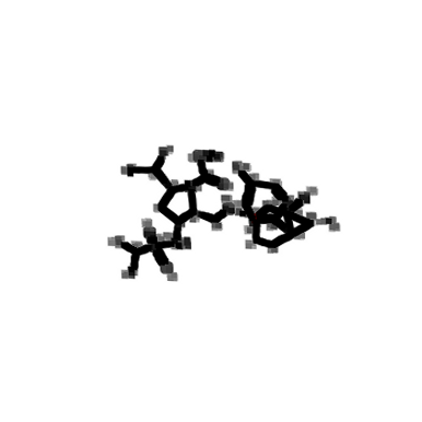 COC(=O)N1[C@H](C(F)F)C[C@H](NS(=O)(=O)C(F)F)[C@@H]1CO[C@H]1CC[C@]2(c3ncc(F)cn3)[C@H](C1)[C@@H]2C